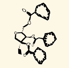 C#C[C@]1(OC(=O)c2ccccc2)CO[C@H](COC(=O)c2ccccc2)[C@H]1OC(=O)c1ccccc1